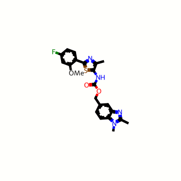 COc1cc(F)ccc1-c1nc(C)c(NC(=O)OCc2ccc3c(c2)nc(C)n3C)s1